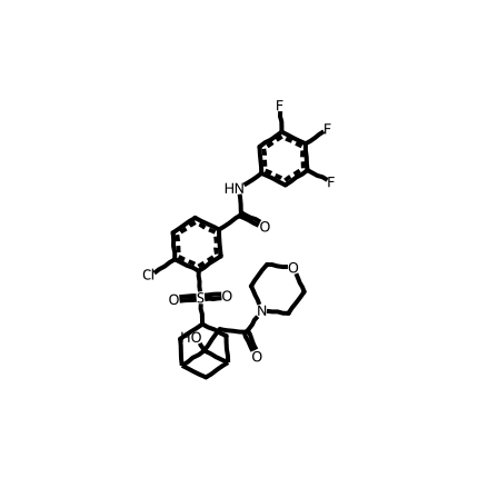 O=C(Nc1cc(F)c(F)c(F)c1)c1ccc(Cl)c(S(=O)(=O)C2CC3CC(C2)C3(O)CC(=O)N2CCOCC2)c1